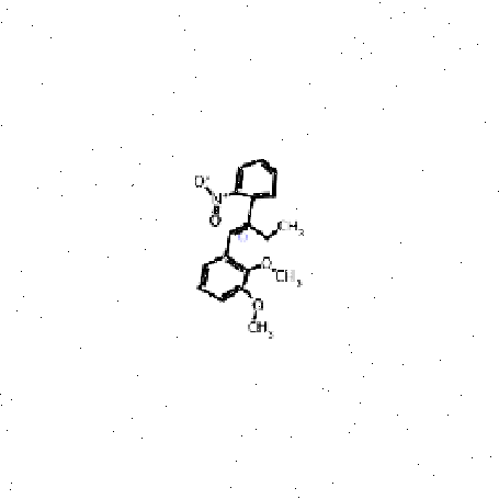 CC/C(=C\c1cccc(OC)c1OC)c1ccccc1[N+](=O)[O-]